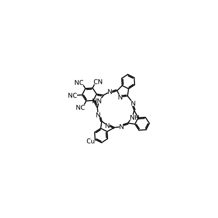 N#Cc1c(C#N)c(C#N)c2c3nc4nc(nc5[nH]c(nc6nc(nc([nH]3)c2c1C#N)-c1ccccc1-6)c1ccccc51)-c1ccccc1-4.[Cu]